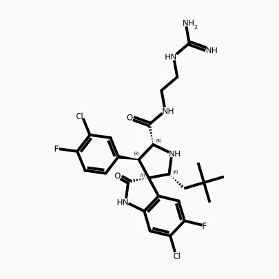 CC(C)(C)C[C@H]1N[C@@H](C(=O)NCCNC(=N)N)[C@H](c2ccc(F)c(Cl)c2)[C@@]12C(=O)Nc1cc(Cl)c(F)cc12